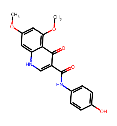 COc1cc(OC)c2c(=O)c(C(=O)Nc3ccc(O)cc3)c[nH]c2c1